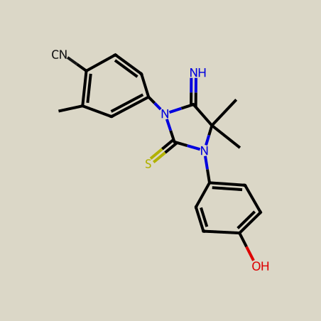 [C-]#[N+]c1ccc(N2C(=N)C(C)(C)N(c3ccc(O)cc3)C2=S)cc1C